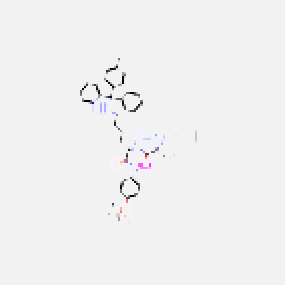 Cc1ccc(C(NCCCC[C@H](NC(=O)[C@@H](NC(=O)O)C(C)C)C(=O)Nc2ccc(O[Si](C)(C)C(C)(C)C)cc2)(c2ccccc2)c2ccccc2)cc1